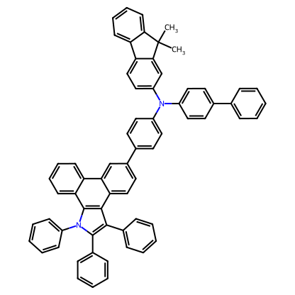 CC1(C)c2ccccc2-c2ccc(N(c3ccc(-c4ccccc4)cc3)c3ccc(-c4ccc5c(c4)c4ccccc4c4c5c(-c5ccccc5)c(-c5ccccc5)n4-c4ccccc4)cc3)cc21